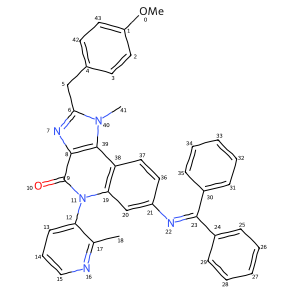 COc1ccc(Cc2nc3c(=O)n(-c4cccnc4C)c4cc(N=C(c5ccccc5)c5ccccc5)ccc4c3n2C)cc1